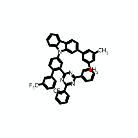 Cc1cc(C)cc(-c2ccc3c4ccccc4n(-c4ccc(-c5cc(C(F)(F)F)cc(C(F)(F)F)c5)c(-c5nc(-c6ccccc6)nc(-c6ccccc6)n5)c4)c3c2)c1